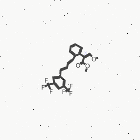 CO/C=C(\C(=O)OC)c1ccccc1C=CC=Cc1cc(C(F)(F)F)cc(C(F)(F)F)c1